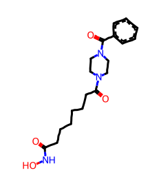 O=C(CCCCCCC(=O)N1CCN(C(=O)c2ccccc2)CC1)NO